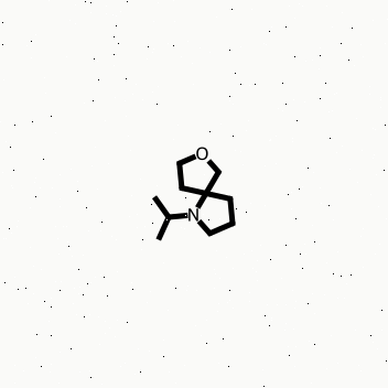 CC(C)N1CCCC12CCOC2